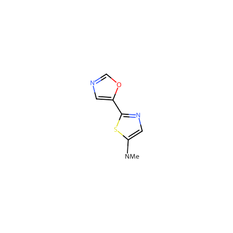 CNc1cnc(-c2cnco2)s1